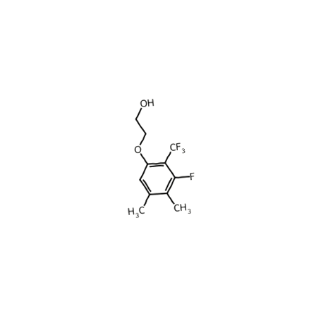 Cc1cc(OCCO)c(C(F)(F)F)c(F)c1C